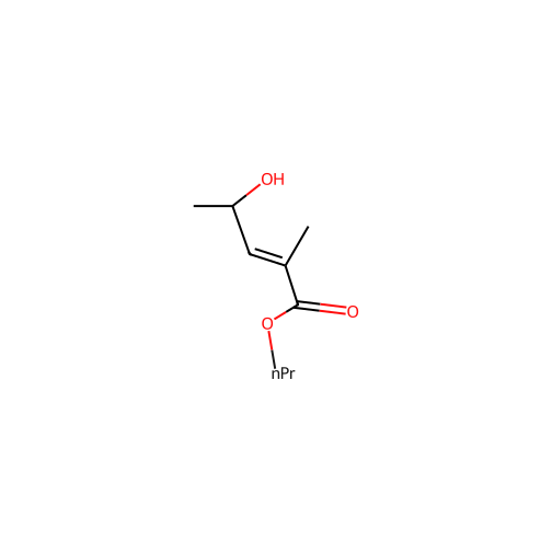 CCCOC(=O)C(C)=CC(C)O